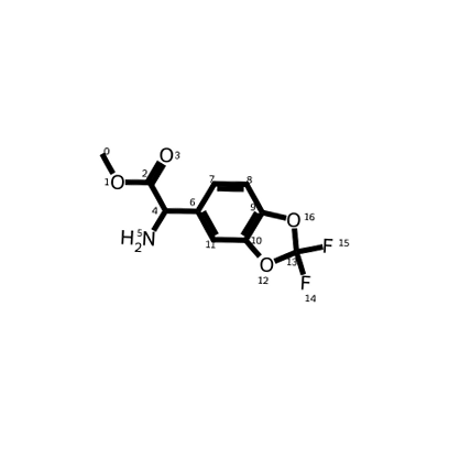 COC(=O)C(N)c1ccc2c(c1)OC(F)(F)O2